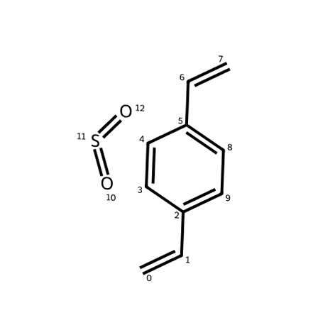 C=Cc1ccc(C=C)cc1.O=S=O